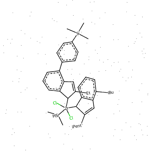 CCCC(C)C1=Cc2c(C(C)CC)cccc2[CH]1[Zr]([Cl])([Cl])([CH]1C(CC)=Cc2c(-c3ccc([Si](C)(C)C)cc3)cccc21)[SiH](C)C